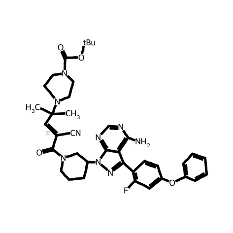 CC(C)(C)OC(=O)N1CCN(C(C)(C)/C=C(\C#N)C(=O)N2CCCC(n3nc(-c4ccc(Oc5ccccc5)cc4F)c4c(N)ncnc43)C2)CC1